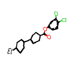 CCC1CCC(C2CCC(C(=O)Oc3ccc(Cl)c(Cl)c3)CC2)CC1